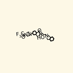 O=C1c2ccc(N3CCN(C(=O)C(F)(F)F)CC3)cc2CCN1CC(O)CN1CCc2ccccc2C1